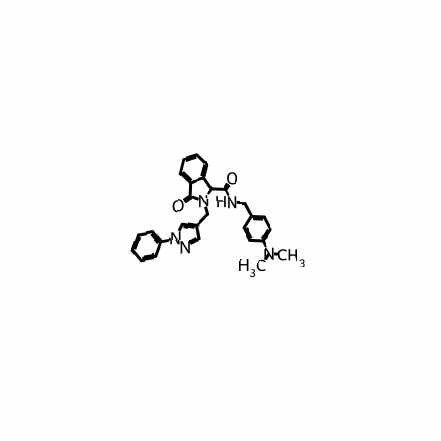 CN(C)c1ccc(CNC(=O)C2c3ccccc3C(=O)N2Cc2cnn(-c3ccccc3)c2)cc1